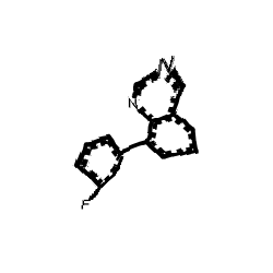 Fc1cccc(-c2cccc3cncnc23)c1